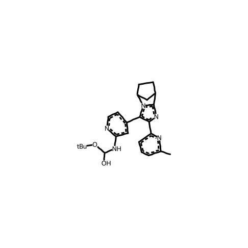 Cc1cccc(-c2nc3n(c2-c2ccnc(NC(O)OC(C)(C)C)c2)C2CCC3C2)n1